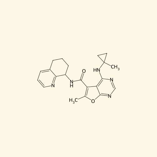 Cc1oc2ncnc(NC3(C)CC3)c2c1C(=O)NC1CCCc2cccnc21